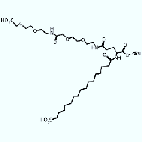 CC(C)(C)OC(=O)[C@H](CCC(=O)NCCOCCOCC(=O)NCCOCCOCC(=O)O)NC(=O)CCCCCCCCCCCCCCCS(=O)(=O)O